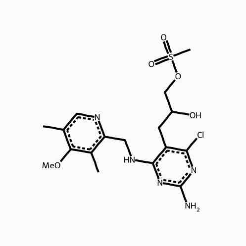 COc1c(C)cnc(CNc2nc(N)nc(Cl)c2CC(O)COS(C)(=O)=O)c1C